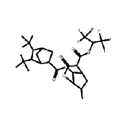 CC1CC2C(C(=O)OC(C(F)(F)F)C(F)(F)F)C(=O)OC1C2OC(=O)C1CC2CC1C(C(C)(C)C)C2C(C)(C)C